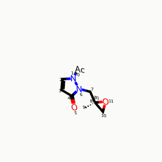 CC(=O)n1ccc(=O)n1C[C@]1(C)CO1